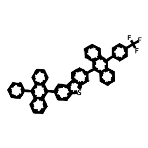 FC(F)(F)c1ccc(-c2c3ccccc3c(-c3ccc4c(c3)sc3ccc(-c5c6ccccc6c(-c6ccccc6)c6ccccc56)cc34)c3ccccc23)cc1